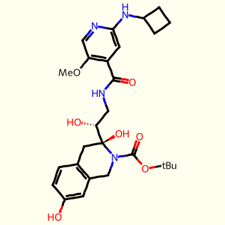 COc1cnc(NC2CCC2)cc1C(=O)NC[C@@H](O)[C@@]1(O)Cc2ccc(O)cc2CN1C(=O)OC(C)(C)C